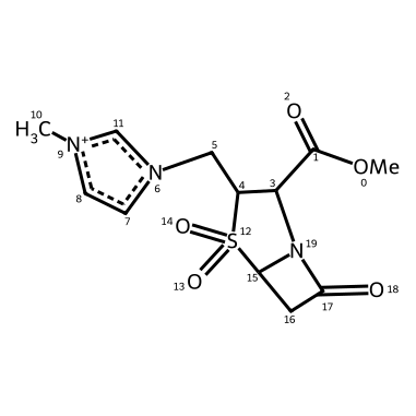 COC(=O)C1C(Cn2cc[n+](C)c2)S(=O)(=O)C2CC(=O)N12